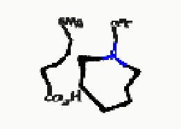 CCCN1CCCCC1.CSCCC(=O)O